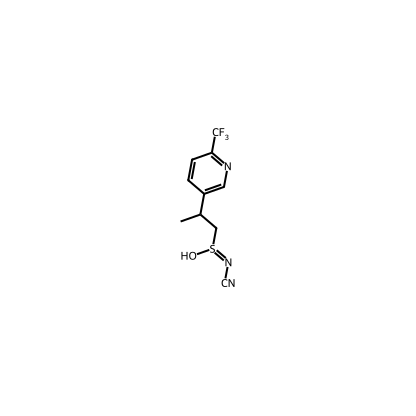 CC(CS(O)=NC#N)c1ccc(C(F)(F)F)nc1